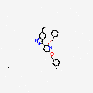 C=Cc1ccc2c(-c3ccc(OCc4ccccc4)nc3OCc3ccccc3)nn(C)c2c1